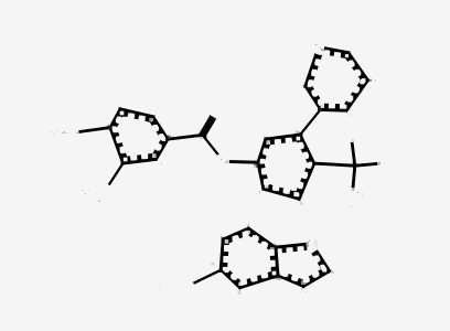 COc1ccc(C(=O)Nc2ccc(C(C)(C)C#N)c(-c3cccnc3)c2)cc1OC.O=C(O)c1ccc2[nH]ccc2c1